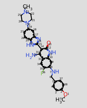 COc1ccc(CNc2cc3[nH]c(=O)c(-c4nc5cc(N6CCN(C)CC6)ccc5[nH]4)c(N)c3cc2F)cc1